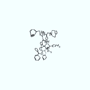 CC(C)CC(NC(=O)C(CCc1ccccc1)NC(=O)CN1CCOCC1)C(=O)NC(Cc1ccccc1)C(=O)OC(=O)c1ccccc1